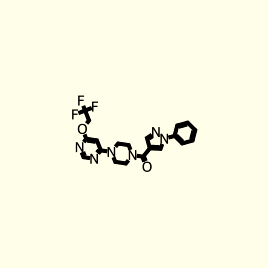 O=C(c1cnn(-c2ccccc2)c1)N1CCN(c2cc(OCC(F)(F)F)ncn2)CC1